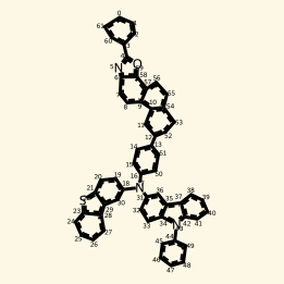 c1ccc(-c2nc3ccc4c5cc(-c6ccc(N(c7ccc8sc9ccccc9c8c7)c7ccc8c(c7)c7ccccc7n8-c7ccccc7)cc6)ccc5ccc4c3o2)cc1